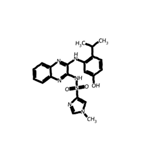 CC(C)c1ccc(O)cc1Nc1nc2ccccc2nc1NS(=O)(=O)c1cn(C)cn1